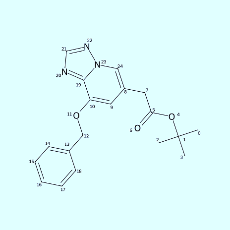 CC(C)(C)OC(=O)Cc1cc(OCc2ccccc2)c2ncnn2c1